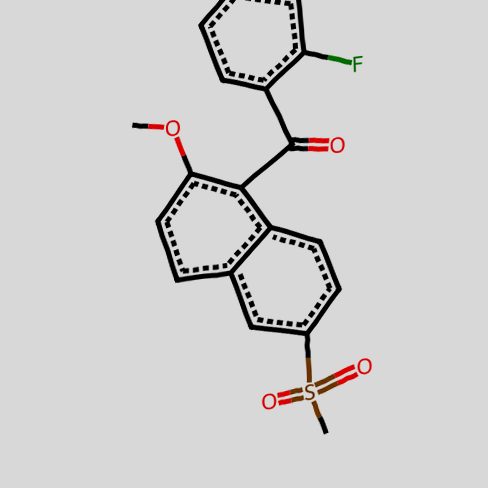 COc1ccc2cc(S(C)(=O)=O)ccc2c1C(=O)c1ccccc1F